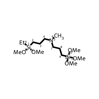 CC[Si](CCCN(C)CCC[Si](OC)(OC)OC)(OC)OC